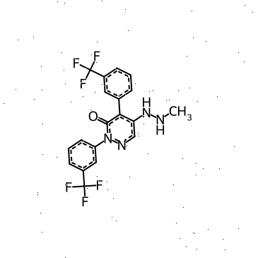 CNNc1cnn(-c2cccc(C(F)(F)F)c2)c(=O)c1-c1cccc(C(F)(F)F)c1